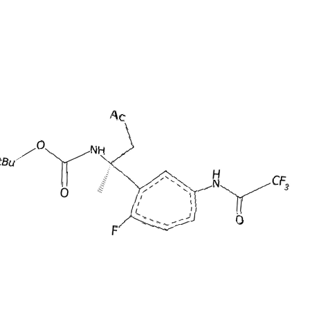 CC(=O)C[C@](C)(NC(=O)OC(C)(C)C)c1cc(NC(=O)C(F)(F)F)ccc1F